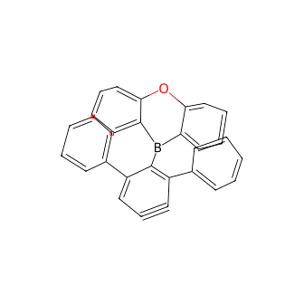 c1cc(-c2ccccc2)c(B2c3ccccc3Oc3ccccc32)c(-c2ccccc2)c#1